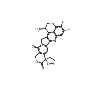 CC[C@@]1(OI)C(=O)OCc2c1cc1n(c2=O)Cc2c-1nc1cc(F)c(C)c3c1c2[C@@H](N)CC3